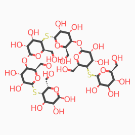 OC[C@@H]1O[C@H](S[C@@H]2[C@@H](O)[C@@H](O)[C@@H](O[C@@H]3[C@@H](O)[C@@H](O)[C@@H](S[C@@H]4[C@@H](O)[C@@H](O)[C@@H](O[C@@H]5[C@@H](O)[C@@H](O)[C@@H](S[C@H]6[C@H](O)[C@@H](O)[C@H](O)O[C@H]6CO)O[C@@H]5CO)O[C@@H]4CO)O[C@@H]3CO)O[C@@H]2CO)[C@H](O)[C@H](O)[C@H]1O